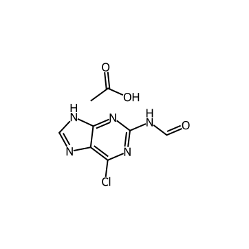 CC(=O)O.O=CNc1nc(Cl)c2nc[nH]c2n1